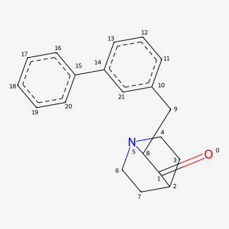 O=C1C2CCN(CC2)C1Cc1cccc(-c2ccccc2)c1